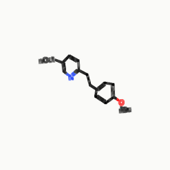 CCCCCCCCc1ccc(CCc2ccc(OCCCC)cc2)nc1